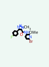 COc1nc(Br)ccc1NC(=O)c1c(-c2ccc(F)cc2)nnn1C